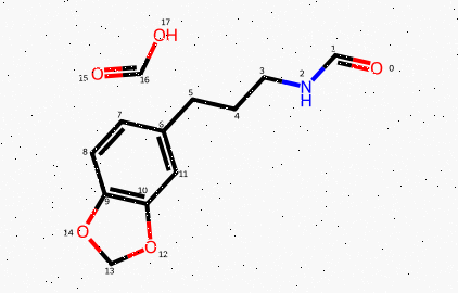 O=CNCCCc1ccc2c(c1)OCO2.O=CO